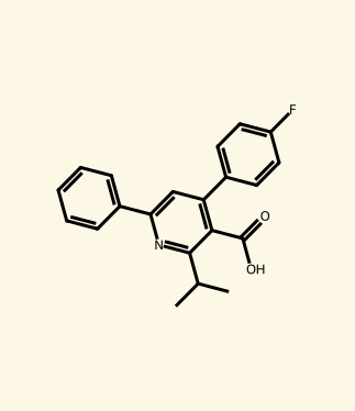 CC(C)c1nc(-c2ccccc2)cc(-c2ccc(F)cc2)c1C(=O)O